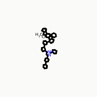 CC1(C)c2ccccc2-c2cc3c(cc21)-c1c(-c2cccc(C4C=CC=C(C5C=C(c6ccc(-c7ccccc7)cc6)N=C(c6ccccc6)N5)C4)c2)cccc1C31CCCCC1